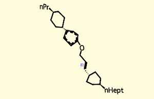 CCCCCCC[C@H]1CC[C@H](/C=C/COc2ccc([C@H]3CC[C@H](CCC)CC3)cc2)CC1